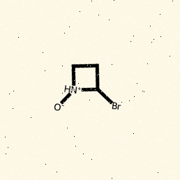 [O-][NH+]1CCC1Br